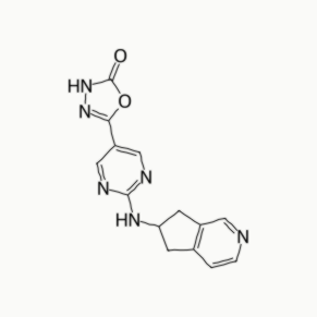 O=c1[nH]nc(-c2cnc(NC3Cc4ccncc4C3)nc2)o1